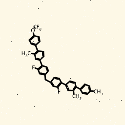 Cc1ccc(-c2ccc(-c3ccc(Cc4ccc(-c5ccc(-c6ccc(OC(F)(F)F)cc6)c(C)c5)c(F)c4)cc3F)cc2C)cc1